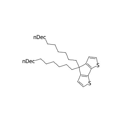 CCCCCCCCCCCCCCCCC1(CCCCCCCCCCCCCCCC)c2ccsc2-c2sccc21